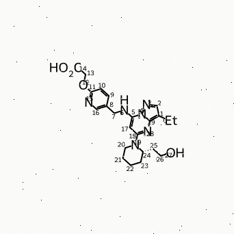 CCc1cnn2c(NCc3ccc(OCC(=O)O)nc3)cc(N3CCCC[C@H]3CCO)nc12